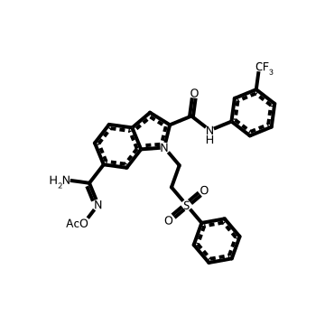 CC(=O)ON=C(N)c1ccc2cc(C(=O)Nc3cccc(C(F)(F)F)c3)n(CCS(=O)(=O)c3ccccc3)c2c1